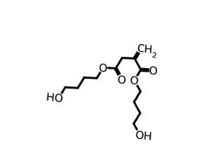 C=C(CC(=O)OCCCCO)C(=O)OCCCCO